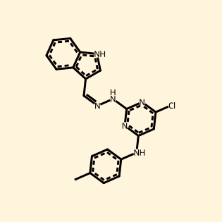 Cc1ccc(Nc2cc(Cl)nc(N/N=C\c3c[nH]c4ccccc34)n2)cc1